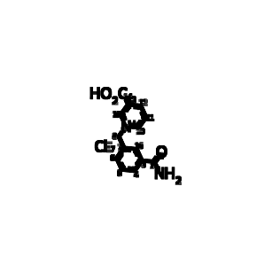 NC(=O)c1cccc(C[n+]2cccc(C(=O)O)c2)c1.[Cl-]